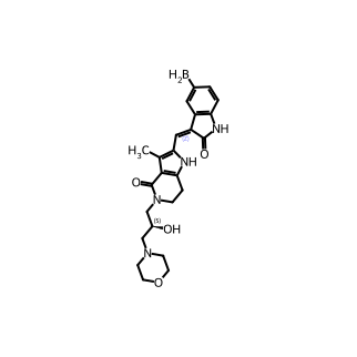 Bc1ccc2c(c1)/C(=C/c1[nH]c3c(c1C)C(=O)N(C[C@@H](O)CN1CCOCC1)CC3)C(=O)N2